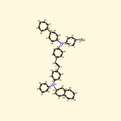 CC(C)(C)c1ccc(N(c2ccc(/C=C/c3ccc(N(c4ccccc4)c4ccc5ccccc5c4)cc3)cc2)c2ccc(-c3ccccc3)cc2)cc1